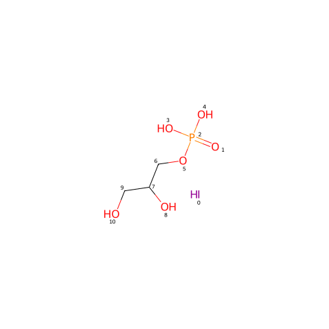 I.O=P(O)(O)OCC(O)CO